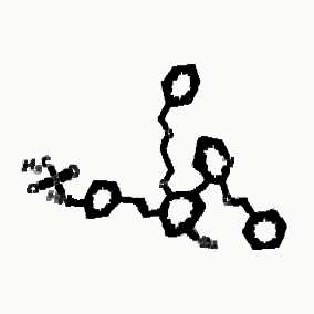 CC(C)(C)c1cc(C=Cc2ccc(NS(C)(=O)=O)cc2)c(OCCOCc2ccccc2)c(-c2cccnc2OCc2ccccc2)c1